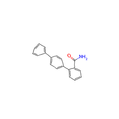 NC(=O)c1ccccc1-c1ccc(-c2ccccc2)cc1